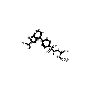 CC(C)(C)C(CNS(=O)(=O)c1ccc(-c2ccnc3[nH]c(C(F)F)cc23)cc1)NC(=O)O